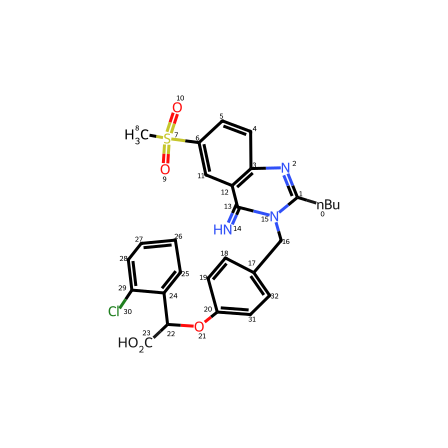 CCCCc1nc2ccc(S(C)(=O)=O)cc2c(=N)n1Cc1ccc(OC(C(=O)O)c2ccccc2Cl)cc1